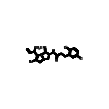 C=CC(C(=O)O)C1=C(C(C)=O)CN2C[C@H](NC(=O)CSc3cc(Cl)ccc3Cl)C(=O)N12